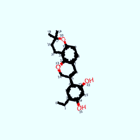 CCc1cc(C2=Cc3ccc4c(c3OC2)CCC(C)(C)O4)c(O)cc1O